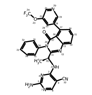 C[C@H](Nc1nc(N)ncc1C#N)c1nc2cccc(-c3cncc(OC(F)(F)F)c3)c2c(=O)n1-c1ccccc1